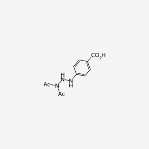 CC(=O)N(NNc1ccc(C(=O)O)cc1)C(C)=O